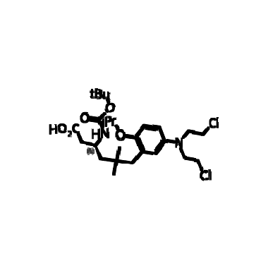 CC(C)Oc1ccc(N(CCCl)CCCl)cc1CC(C)(C)C[C@@H](CC(=O)O)NC(=O)OC(C)(C)C